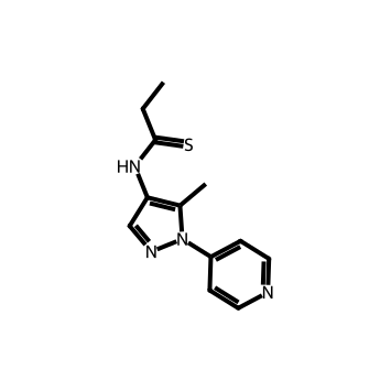 CCC(=S)Nc1cnn(-c2ccncc2)c1C